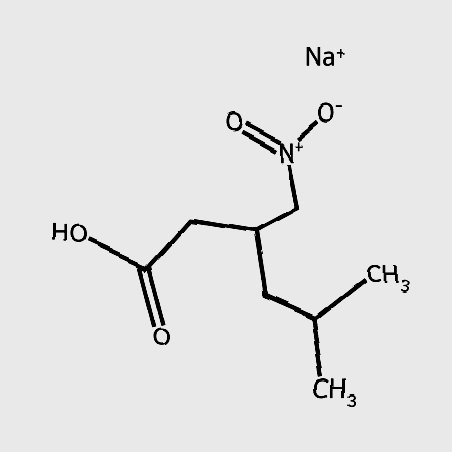 CC(C)CC(CC(=O)O)C[N+](=O)[O-].[Na+]